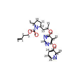 C=CCCOC(=O)N1C(C)CCC1C[C@@H](C)Oc1ncnc(Oc2cccnc2C)c1C